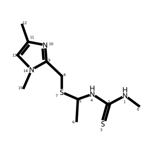 CNC(=S)NC(C)SCc1nc(C)cn1C